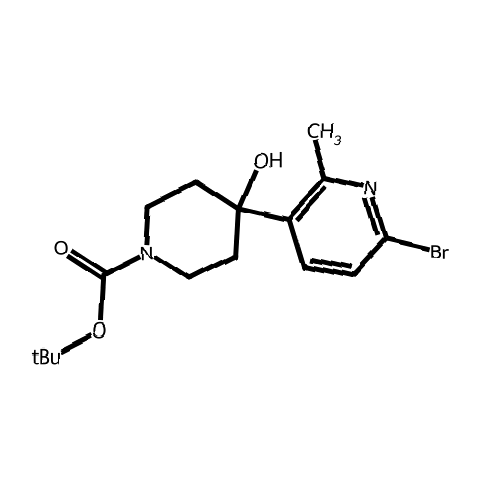 Cc1nc(Br)ccc1C1(O)CCN(C(=O)OC(C)(C)C)CC1